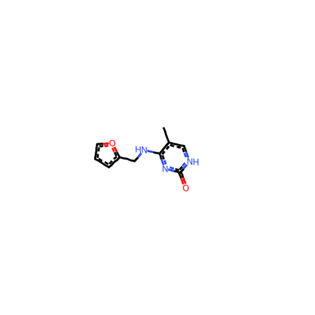 Cc1c[nH]c(=O)nc1NCc1ccco1